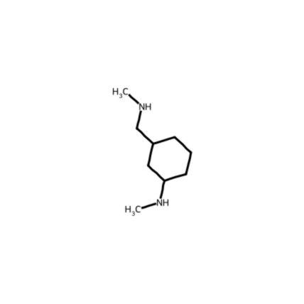 CNCC1CCCC(NC)C1